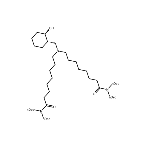 CCCCCCCCCCN(CCCCCCCCCC)C(=O)CCCCCCCN(CCCCCCCC(=O)N(CCCCCCCCCC)CCCCCCCCCC)C[C@@H]1CCCC[C@H]1O